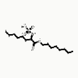 CCCCCCCCOC(=O)C(CCCCCC)OS(=O)(=O)O